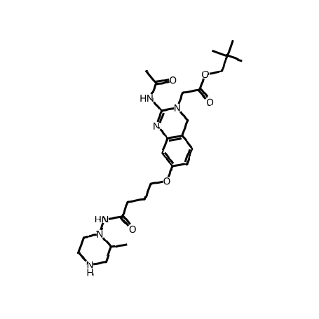 CC(=O)NC1=Nc2cc(OCCCC(=O)NN3CCNCC3C)ccc2CN1CC(=O)OCC(C)(C)C